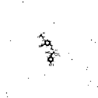 C[C@H](NCCc1ccc(OCC(=O)O)c(C#N)c1)[C@@H](O)c1ccc(O)cc1